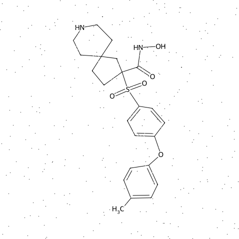 Cc1ccc(Oc2ccc(S(=O)(=O)C3(C(=O)NO)CCC4(CCNCC4)C3)cc2)cc1